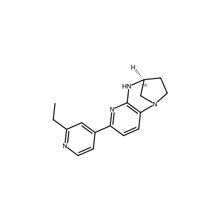 CCc1cc(-c2ccc3c(n2)N[C@H]2CCN3C2)ccn1